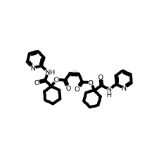 O=C(/C=C\C(=O)OC1(C(=O)Nc2ccccn2)CCCCC1)OC1(C(=O)Nc2ccccn2)CCCCC1